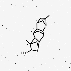 BC1CC2CC1(C)C1C3CCC(C4C5CC(C=C5C)C34)C21